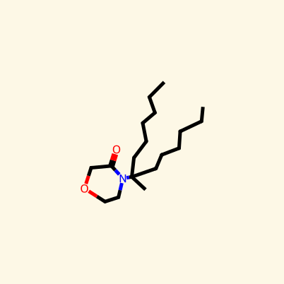 CCCCCCC(C)(CCCCCC)N1CCOCC1=O